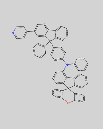 c1ccc(N(c2ccc(C3(c4ccccc4)c4ccccc4-c4ccc(-c5ccncc5)cc43)cc2)c2cccc3c2-c2ccccc2C32c3ccccc3Oc3ccccc32)cc1